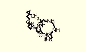 CC1(C)CC2CN1c1nc(-n3ccc(OCCC4(C(F)(F)F)CC4)n3)ccc1C(=O)NS/C(C=N)=C/NCCCN2